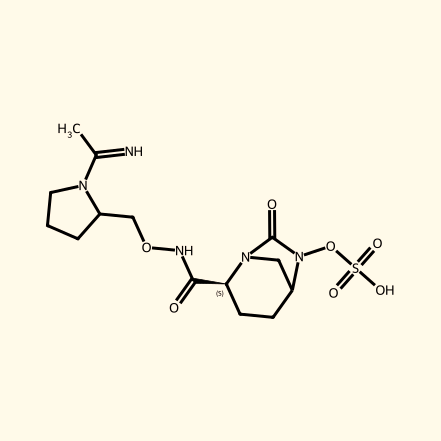 CC(=N)N1CCCC1CONC(=O)[C@@H]1CCC2CN1C(=O)N2OS(=O)(=O)O